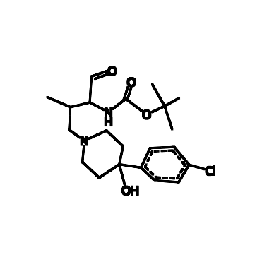 CC(CN1CCC(O)(c2ccc(Cl)cc2)CC1)C(C=O)NC(=O)OC(C)(C)C